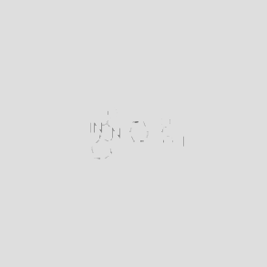 O=C(O)c1ccc(-n2c(=O)[nH]c3ccccc32)cc1